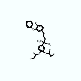 CC(C)(CCCc1ccc(F)c(Oc2ccccc2)c1)c1ccc(OC(F)CF)c(OC(F)CF)c1